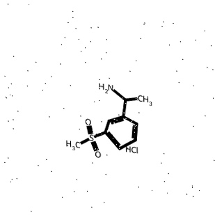 CC(N)c1cccc(S(C)(=O)=O)c1.Cl